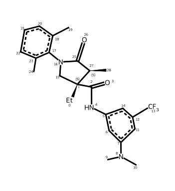 CC[C@@]1(C(=O)Nc2cc(N(C)C)cc(C(F)(F)F)c2)CN(c2c(C)cccc2C)C(=O)[C@H]1C